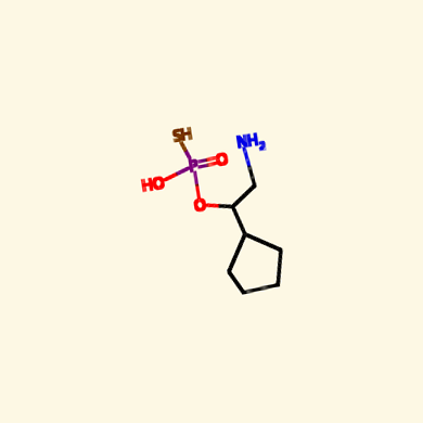 NCC(OP(=O)(O)S)C1CCCC1